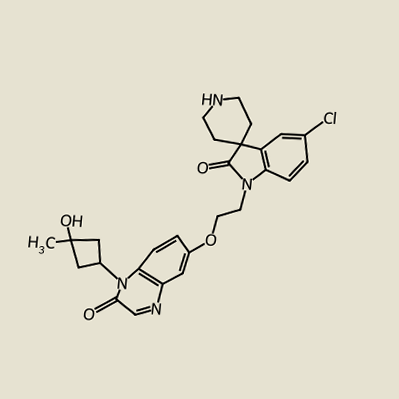 CC1(O)CC(n2c(=O)cnc3cc(OCCN4C(=O)C5(CCNCC5)c5cc(Cl)ccc54)ccc32)C1